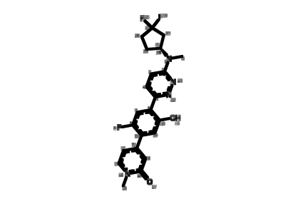 CN(c1ccc(-c2cc(F)c(-c3ccn(C)c(=O)c3)cc2O)nn1)[C@H]1CCC(F)(F)C1